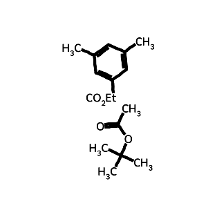 CC(=O)OC(C)(C)C.CCOC(=O)c1cc(C)cc(C)c1